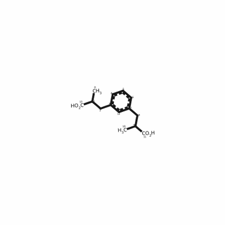 CC(Cc1cccc(CC(C)C(=O)O)c1)C(=O)O